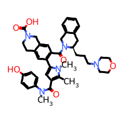 Cc1c(C(=O)N(C)c2ccc(O)cc2)cc(-c2cc3c(cc2C(=O)N2Cc4ccccc4C[C@H]2CCCN2CCOCC2)CN(C(=O)O)CC3)n1C